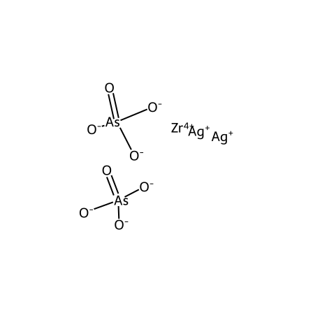 O=[As]([O-])([O-])[O-].O=[As]([O-])([O-])[O-].[Ag+].[Ag+].[Zr+4]